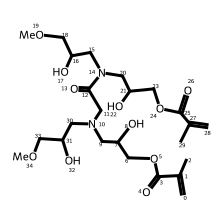 C=C(C)C(=O)OCC(O)CN(CC(=O)N(CC(O)COC)CC(O)COC(=O)C(=C)C)CC(O)COC